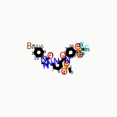 CCS(=O)(=O)c1ccc(-n2ncn(-c3ccc(Br)cc3)c2=O)nc1-c1nc2cc(S(=O)(=O)C(F)(F)F)ccc2o1